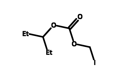 CCC(CC)OC(=O)OCI